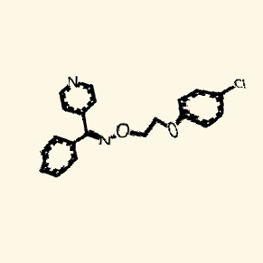 Clc1ccc(OCCON=C(c2ccccc2)c2ccncc2)cc1